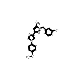 Cc1cc(-c2cn(-c3ccc(OC(F)(F)F)cc3)cn2)nn1Cc1cccc(O)c1